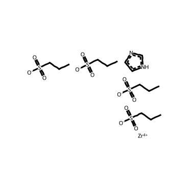 CCCS(=O)(=O)[O-].CCCS(=O)(=O)[O-].CCCS(=O)(=O)[O-].CCCS(=O)(=O)[O-].[Zr+4].c1c[nH]cn1